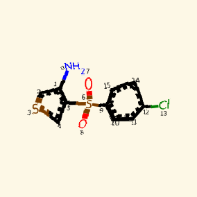 Nc1cscc1S(=O)(=O)c1ccc(Cl)cc1